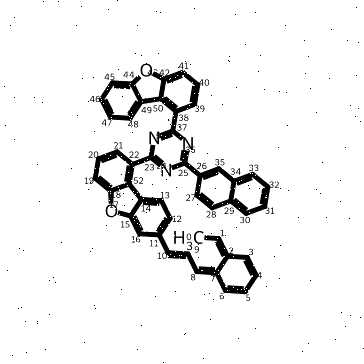 C/C=c1/cccc/c1=C/C=C/c1ccc2c(c1)oc1cccc(-c3nc(-c4ccc5ccccc5c4)nc(-c4cccc5oc6ccccc6c45)n3)c12